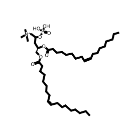 CCCCCCCC/C=C\CCCCCCCC(=O)OC[C@@H](CC(C[N+](C)(C)C)OP(=O)(O)O)OC(=O)CCCCCCC/C=C\CCCCCCCC